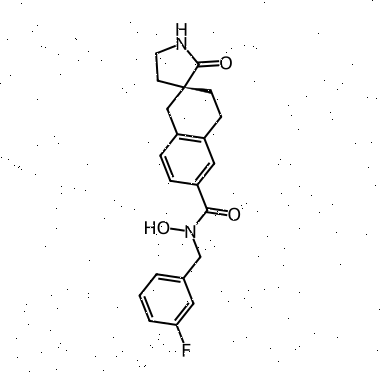 O=C(c1ccc2c(c1)CC[C@]1(CCNC1=O)C2)N(O)Cc1cccc(F)c1